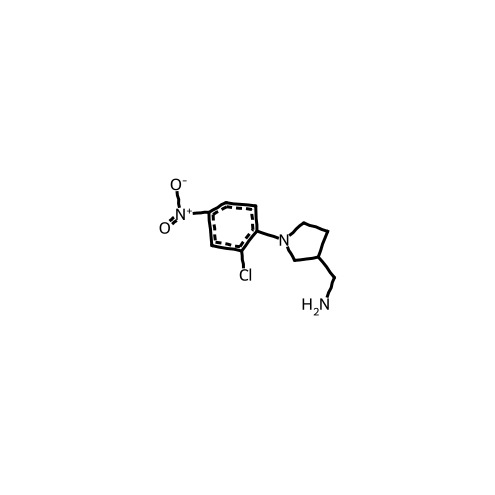 NCC1CCN(c2ccc([N+](=O)[O-])cc2Cl)C1